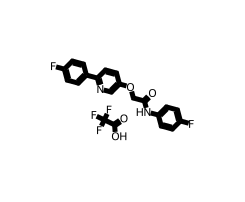 O=C(COc1ccc(-c2ccc(F)cc2)nc1)Nc1ccc(F)cc1.O=C(O)C(F)(F)F